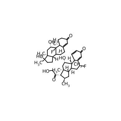 C[C@@H]1C[C@H]2[C@@H]3C[C@H](F)C4=CC(=O)C=C[C@]4(C)[C@H]3[C@@H](O)C[C@]2(C)[C@H]1C(=O)CO.C[C@]1(O)CC[C@H]2[C@@H]3CCC4=CC(=O)CC[C@]4(C)[C@@]3(F)[C@@H](O)C[C@@]21C